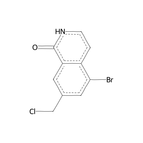 O=c1[nH]ccc2c(Br)cc(CCl)cc12